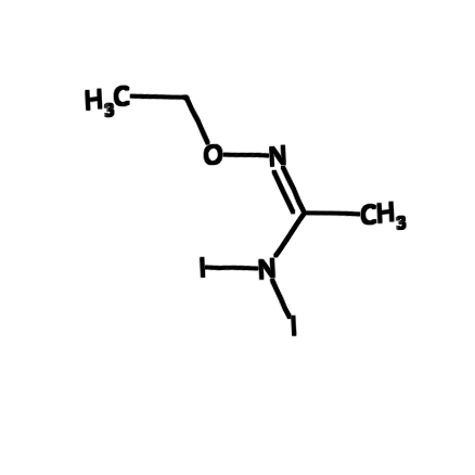 CCO/N=C(/C)N(I)I